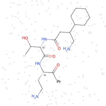 CC(C)C(=O)[C@H](CCN)NC(=O)[C@@H](NC(=O)CC(CN)C1CCCCC1)C(C)O